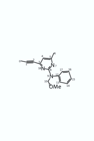 CC#Cc1cc(C)nc(N(COC)c2ccccc2)n1